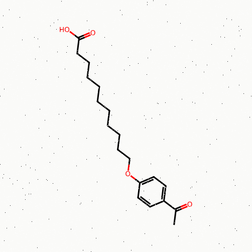 CC(=O)c1ccc(OCCCCCCCCCCC(=O)O)cc1